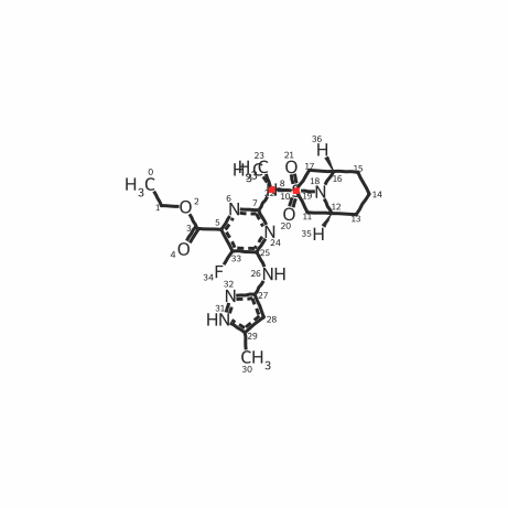 CCOC(=O)c1nc(N(C)[C@@H]2C[C@H]3CCC[C@@H](C2)N3S(=O)(=O)CC)nc(Nc2cc(C)[nH]n2)c1F